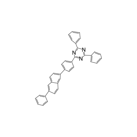 c1ccc(-c2ccc3cc(-c4ccc(-c5nc(-c6ccccc6)nc(-c6ccccc6)n5)cc4)ccc3c2)cc1